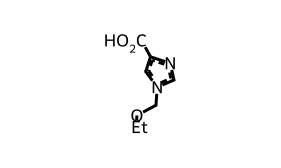 CCOCn1cnc(C(=O)O)c1